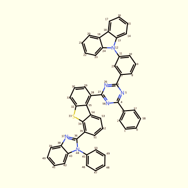 c1ccc(-c2nc(-c3cccc(-n4c5ccccc5c5ccccc54)c3)nc(-c3cccc4sc5c(-c6nc7ccccc7n6-c6ccccc6)cccc5c34)n2)cc1